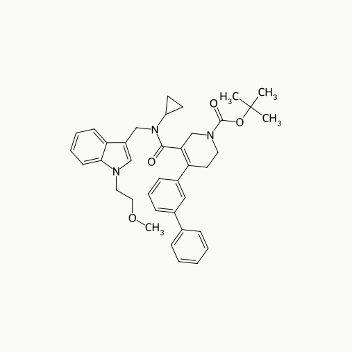 COCCn1cc(CN(C(=O)C2=C(c3cccc(-c4ccccc4)c3)CCN(C(=O)OC(C)(C)C)C2)C2CC2)c2ccccc21